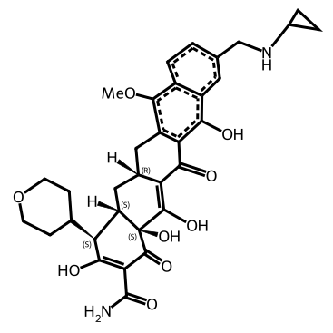 COc1c2c(c(O)c3cc(CNC4CC4)ccc13)C(=O)C1=C(O)[C@]3(O)C(=O)C(C(N)=O)=C(O)[C@@H](C4CCOCC4)[C@@H]3C[C@@H]1C2